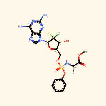 CC(C)OC(=O)[C@H](C)N[P@@](=O)(OC[C@H]1O[C@@H](n2cnc3c(N)nc(N)nc32)[C@](F)(Cl)[C@@H]1O)Oc1ccccc1